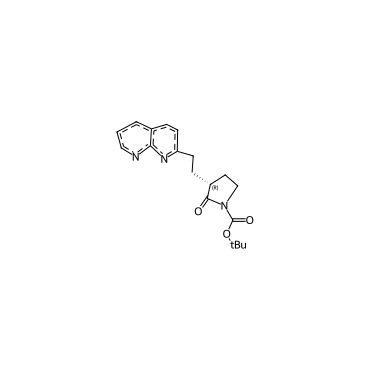 CC(C)(C)OC(=O)N1CC[C@@H](CCc2ccc3cccnc3n2)C1=O